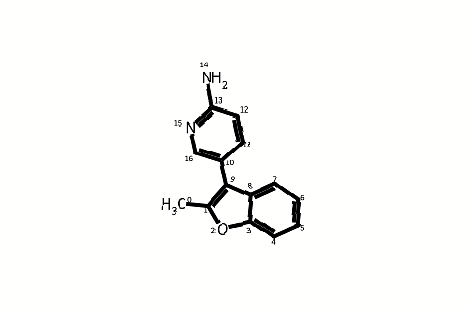 Cc1oc2ccccc2c1-c1ccc(N)nc1